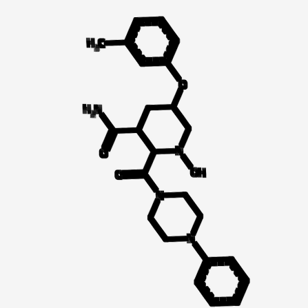 Cc1cccc(OC2CC(C(N)=O)C(C(=O)N3CCN(c4ccccc4)CC3)N(O)C2)c1